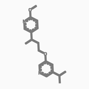 COc1ccc(C(C)CCOc2cncc(C(C)C)c2)cn1